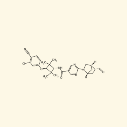 CC1(C)[C@H](NC(=O)c2cnc(N3C[C@H]4C[C@@H]3C[C@H]4C=O)nc2)C(C)(C)[C@H]1Oc1ccc(C#N)c(Cl)c1